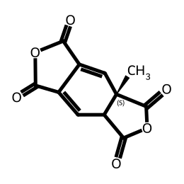 C[C@]12C=C3C(=O)OC(=O)C3=CC1C(=O)OC2=O